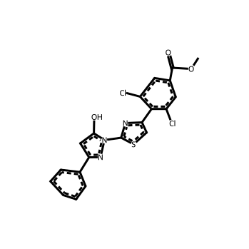 COC(=O)c1cc(Cl)c(-c2csc(-n3nc(-c4ccccc4)cc3O)n2)c(Cl)c1